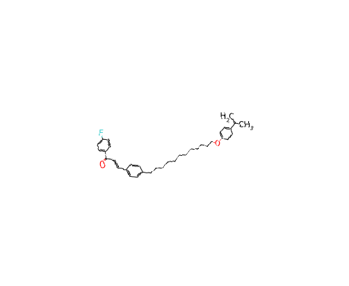 C=C(C)c1ccc(OCCCCCCCCCCCCc2ccc(C=CC(=O)c3ccc(F)cc3)cc2)cc1